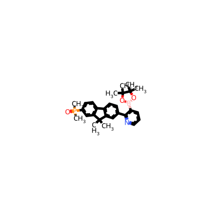 CC1(C)c2cc(-c3ncccc3B3OC(C)(C)C(C)(C)O3)ccc2-c2ccc(P(C)(C)=O)cc21